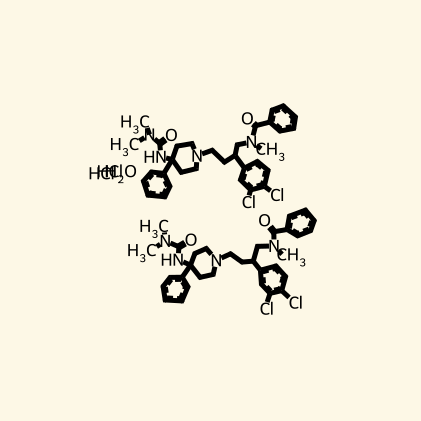 CN(C)C(=O)NC1(c2ccccc2)CCN(CCC(CN(C)C(=O)c2ccccc2)c2ccc(Cl)c(Cl)c2)CC1.CN(C)C(=O)NC1(c2ccccc2)CCN(CCC(CN(C)C(=O)c2ccccc2)c2ccc(Cl)c(Cl)c2)CC1.Cl.Cl.O